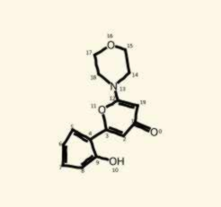 O=c1cc(-c2ccccc2O)oc(N2CCOCC2)c1